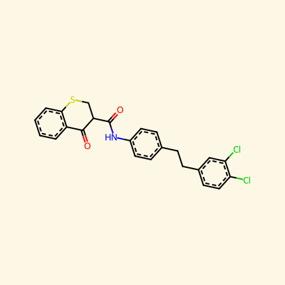 O=C(Nc1ccc(CCc2ccc(Cl)c(Cl)c2)cc1)C1CSc2ccccc2C1=O